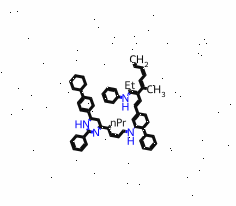 C=C/C=C\C=C(/C)C(/C=C/C1=C[C@@H](NC/C=C\C(CCC)C2=NC(C3C=CC=CC3)NC(C3=CC=C(C4CCCCC4)CC3)C2)C(C2C=CC=CC2)CC1)=C(CC)NC1C=CC=CC1